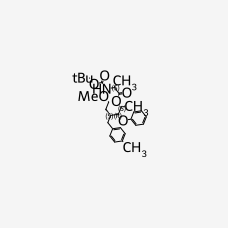 COCC[C@H](Cc1ccc(C)cc1)[C@@H](Oc1ccccc1)[C@H](C)OC(=O)[C@H](C)NC(=O)OC(C)(C)C